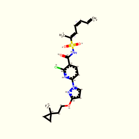 C=C/C=C\C=C(/C)S(=O)(=O)NC(=O)c1ccc(-n2ccc(OCCC3(C(F)(F)F)CC3)n2)nc1Cl